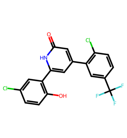 O=c1cc(-c2cc(C(F)(F)F)ccc2Cl)cc(-c2cc(Cl)ccc2O)[nH]1